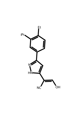 CCc1ccc(-c2cc(C(C#N)=CO)[nH]n2)cc1C(C)C